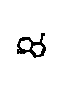 Fc1cccc2c1C=CCN2